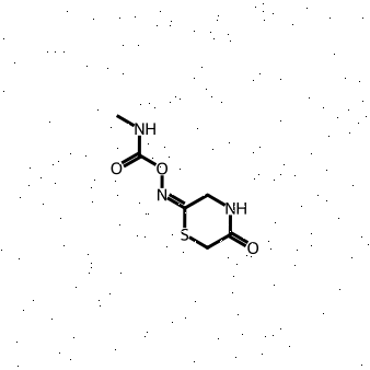 CNC(=O)ON=C1CNC(=O)CS1